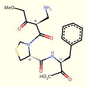 COCC(=O)[C@@H](CN)C(=O)N1CSC[C@H]1C(=O)N[C@@H](Cc1ccccc1)C(=O)C(=O)O